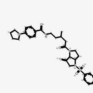 CC(CCNC(=O)c1ccc(N2CCCC2)cc1)CC(=O)N1CCC2C1C(=O)CN2S(=O)(=O)c1ccccc1